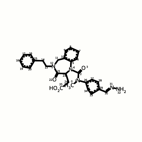 CN(C(=O)N1c2ccccc2CN(CCc2ccccc2)C(=O)C1CC(=O)O)c1ccc(C=NN)cc1